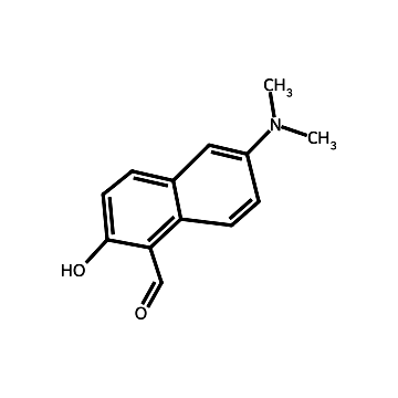 CN(C)c1ccc2c(C=O)c(O)ccc2c1